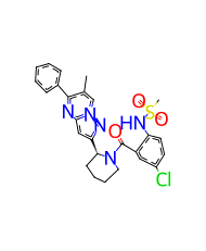 Cc1cn2nc([C@@H]3CCCCN3C(=O)c3cc(Cl)ccc3NS(C)(=O)=O)cc2nc1-c1ccccc1